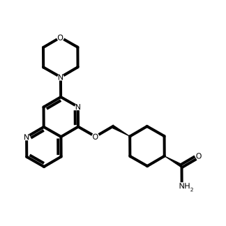 NC(=O)[C@H]1CC[C@@H](COc2nc(N3CCOCC3)cc3ncccc23)CC1